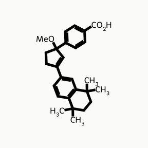 COC1(c2ccc(C(=O)O)cc2)C=C(c2ccc3c(c2)C(C)(C)CCC3(C)C)CC1